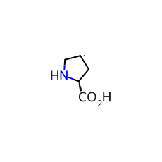 O=C(O)[C@@H]1C[CH]CN1